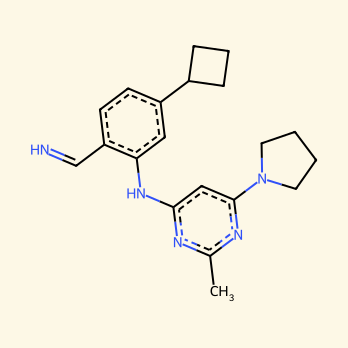 Cc1nc(Nc2cc(C3CCC3)ccc2C=N)cc(N2CCCC2)n1